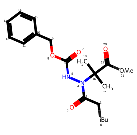 CCC(C)CC(=O)N(NC(=O)OCc1ccccc1)C(C)(C)C(=O)OC